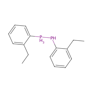 CCc1ccccc1P[PH3]c1ccccc1CC